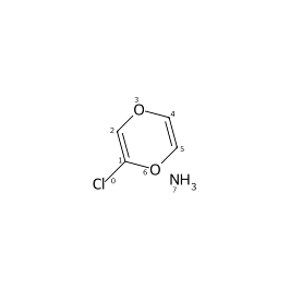 ClC1=COC=CO1.N